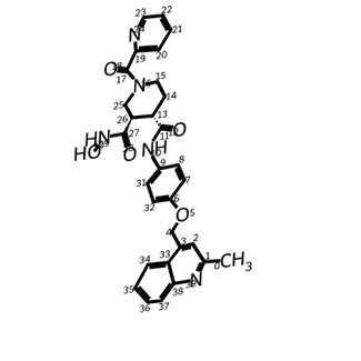 Cc1cc(COc2ccc(NC(=O)[C@H]3CCN(C(=O)c4ccccn4)C[C@@H]3C(=O)NO)cc2)c2ccccc2n1